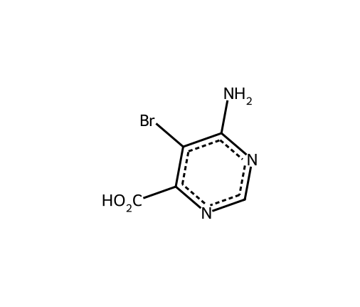 Nc1ncnc(C(=O)O)c1Br